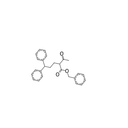 CC(=O)C(CCC(c1ccccc1)c1ccccc1)C(=O)OCc1ccccc1